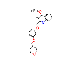 CCCCOc1c(C)c(COc2cccc(OCC3CCOCC3)c2)nc2ccccc12